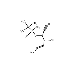 C#C[C@H](O[Si](C)(C)C(C)(C)C)[C@H](C)/C=C/C